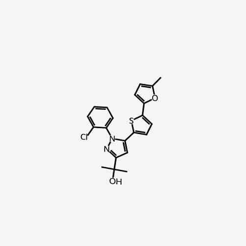 Cc1ccc(-c2ccc(-c3cc(C(C)(C)O)nn3-c3ccccc3Cl)s2)o1